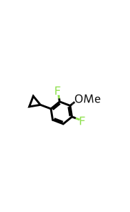 COc1c(F)ccc(C2CC2)c1F